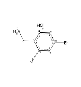 Cl.NCc1ccc(Br)cc1F